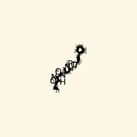 CC(C)N1C[C@H](NC(=O)c2cc(C3CC3)on2)C[C@H]1COCC#Cc1ccccc1